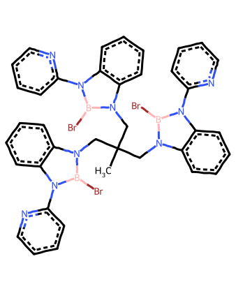 CC(CN1B(Br)N(c2ccccn2)c2ccccc21)(CN1B(Br)N(c2ccccn2)c2ccccc21)CN1B(Br)N(c2ccccn2)c2ccccc21